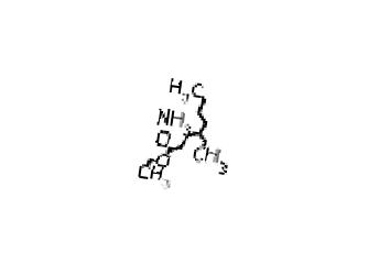 CCCCC(CC)CCC(=O)OCC.N